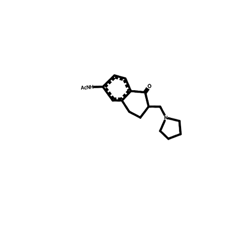 CC(=O)Nc1ccc2c(c1)CCC(CN1CCCC1)C2=O